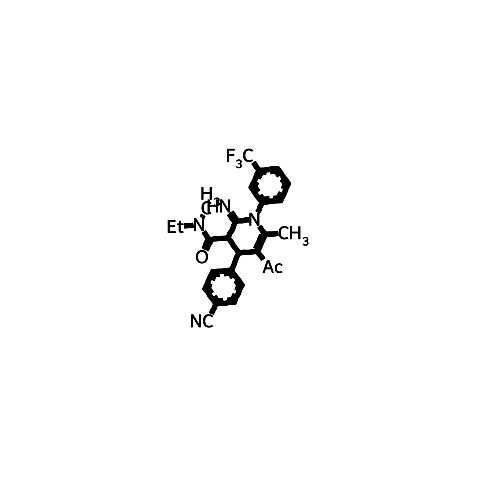 CCN(C)C(=O)C1C(=N)N(c2cccc(C(F)(F)F)c2)C(C)=C(C(C)=O)C1c1ccc(C#N)cc1